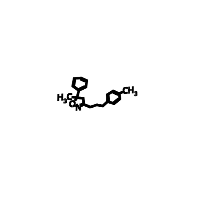 Cc1ccc(CCCC2=NOC(C)(c3ccccc3)C2)cc1